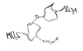 O=C(O)c1cc(Oc2ccc(S(=O)(=O)O)cc2)cc(C(=O)O)c1.[K]